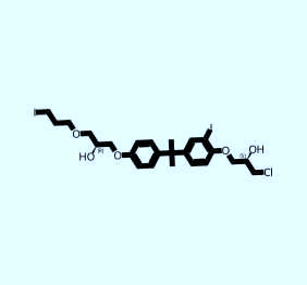 CC(C)(c1ccc(OC[C@H](O)COCCCI)cc1)c1ccc(OC[C@H](O)CCl)c(I)c1